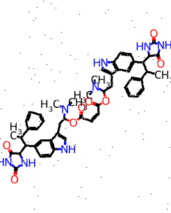 CC(c1ccccc1)C(c1ccc2[nH]cc(CC(OC(=O)/C=C\C(=O)OC(Cc3c[nH]c4ccc(C(C5NC(=O)NC5=O)C(C)c5ccccc5)cc34)N(C)C)N(C)C)c2c1)C1NC(=O)NC1=O